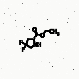 CCOC(=O)C1CC(F)(F)CN1